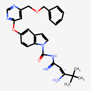 CC(C)(C)/C(N)=C/C(=N)NC(=O)n1ccc2cc(Oc3cc(COCc4ccccc4)ncn3)ccc21